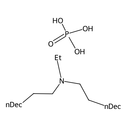 CCCCCCCCCCCCN(CC)CCCCCCCCCCCC.O=P(O)(O)O